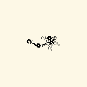 CC1=C(C(=O)OCCCOc2ccc(CCCOC3CCCCO3)cc2)C(c2cccc([N+](=O)[O-])c2)C(C(=O)OC(C)C)=C(C)N1